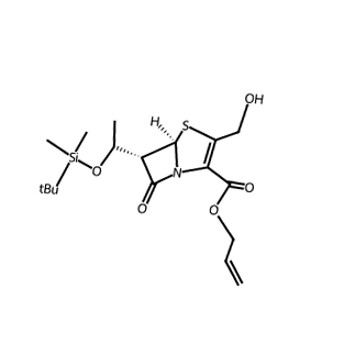 C=CCOC(=O)C1=C(CO)S[C@@H]2[C@@H](C(C)O[Si](C)(C)C(C)(C)C)C(=O)N12